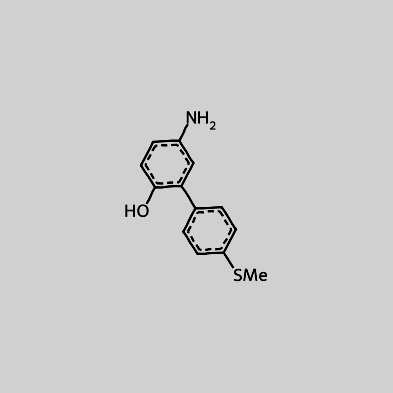 CSc1ccc(-c2cc(N)ccc2O)cc1